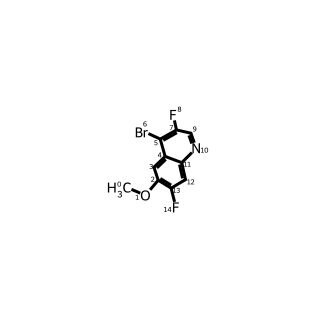 COc1cc2c(Br)c(F)cnc2cc1F